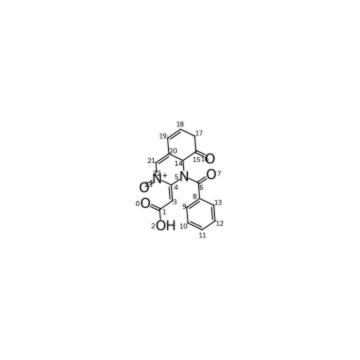 O=C(O)C=C1N(C(=O)c2ccccc2)C2C(=O)CC=CC2=C[N+]1=O